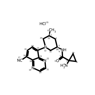 C[C@H]1C[C@@H](NC(=O)C2(N)CC2)CN(c2ccc(C#N)c3nccnc23)C1.Cl